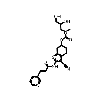 CN(CC(O)CO)C(=O)OC1CCc2c(sc(NC(=O)C=Cc3cccnc3)c2C#N)C1